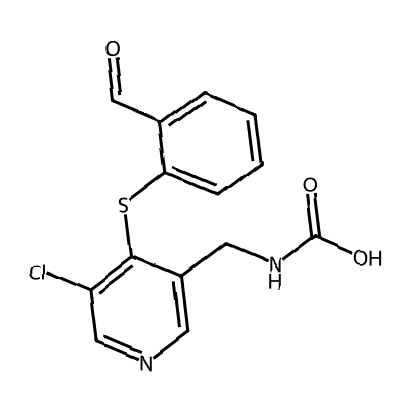 O=Cc1ccccc1Sc1c(Cl)cncc1CNC(=O)O